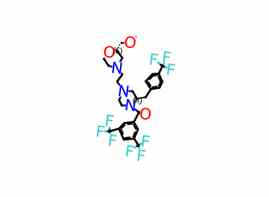 COC[C@@H]1CN(CCN2CCN(C(=O)c3cc(C(F)(F)F)cc(C(F)(F)F)c3)[C@H](Cc3ccc(C(F)(F)F)cc3)C2)CCO1